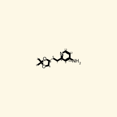 CC1(C)OC[C@@H](CCc2cc(N)ccn2)O1